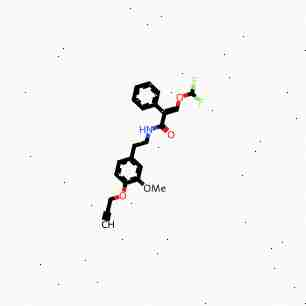 C#CCOc1ccc(CCNC(=O)/C(=C/OC(F)F)c2ccccc2)cc1OC